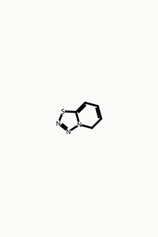 C1=CCN2N=NSC2=C1